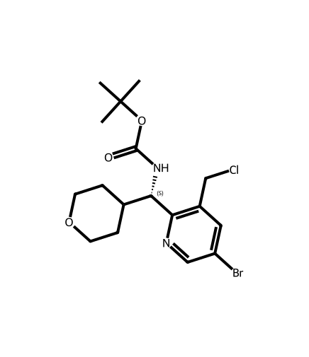 CC(C)(C)OC(=O)N[C@H](c1ncc(Br)cc1CCl)C1CCOCC1